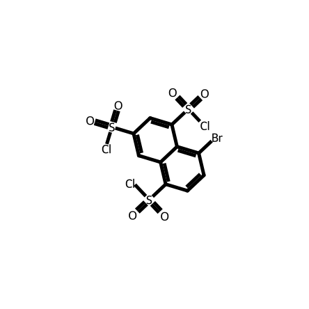 O=S(=O)(Cl)c1cc(S(=O)(=O)Cl)c2c(Br)ccc(S(=O)(=O)Cl)c2c1